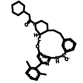 Cc1cccc(C)c1-c1cc2nc(n1)N[S+]([O-])c1cccc(c1)CCC1CCN(C(=O)CC3CCCCC3)C[C@@H]1CO2